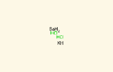 Cl.Cl.[BaH2].[KH]